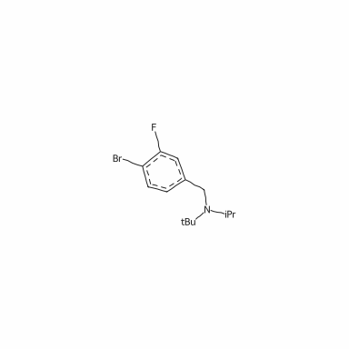 CC(C)N(Cc1ccc(Br)c(F)c1)C(C)(C)C